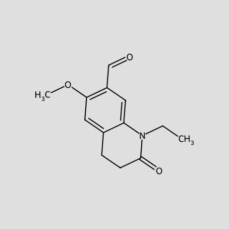 CCN1C(=O)CCc2cc(OC)c(C=O)cc21